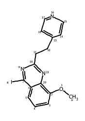 COc1cccc2c(I)nc(CCc3ccncc3)nc12